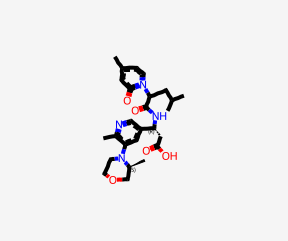 Cc1ccn(C(CC(C)C)C(=O)N[C@H](CC(=O)O)c2cnc(C)c(N3CCOC[C@@H]3C)c2)c(=O)c1